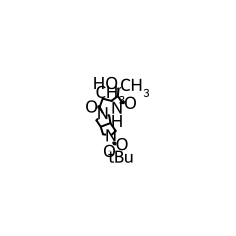 C[C@@H](O)C1C(=O)N[C@@H]1[C@@H](C)C(=O)N1CC2CN(C(=O)OC(C)(C)C)CC2C1